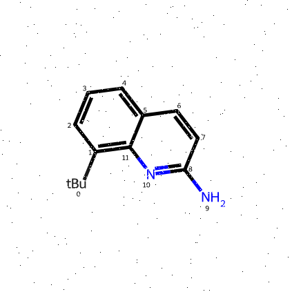 CC(C)(C)c1cccc2ccc(N)nc12